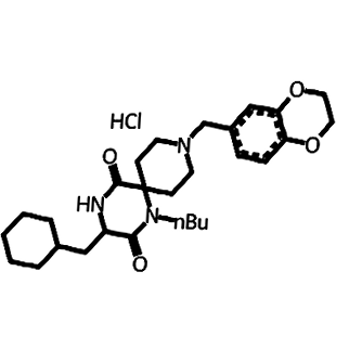 CCCCN1C(=O)C(CC2CCCCC2)NC(=O)C12CCN(Cc1ccc3c(c1)OCCO3)CC2.Cl